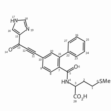 CSCCC(NC(=O)c1ccc(C#CC(=O)c2c[nH]cn2)cc1-c1ccccc1)C(=O)O